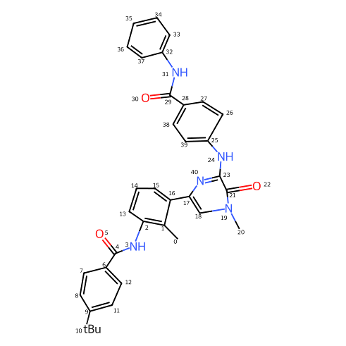 Cc1c(NC(=O)c2ccc(C(C)(C)C)cc2)cccc1-c1cn(C)c(=O)c(Nc2ccc(C(=O)Nc3ccccc3)cc2)n1